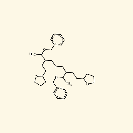 CC(OCc1ccccc1)C(CCC1CCCO1)CSCC(CCC1CCCO1)C(C)OCc1ccccc1